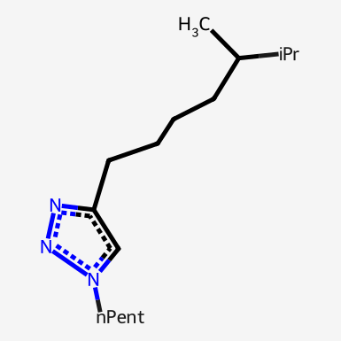 CCCCCn1cc(CCCCC(C)C(C)C)nn1